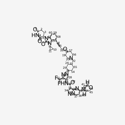 O=C1CCC(n2c(=O)n(C3CC3)c3c(C#CCOC4CCN(C[C@H]5CC[C@H](n6cc(NC(=O)c7cnn8ccc(N9C[C@H]%10C[C@@H]9CO%10)nc78)c(C(F)F)n6)CC5)CC4)cccc32)C(=O)N1